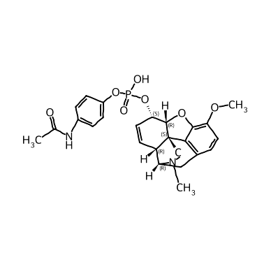 COc1ccc2c3c1O[C@H]1[C@@H](OP(=O)(O)Oc4ccc(NC(C)=O)cc4)C=C[C@H]4[C@@H](C2)N(C)CC[C@@]341